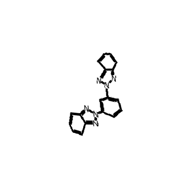 c1cc(-n2nc3ccccc3n2)cc(-n2nc3ccccc3n2)c1